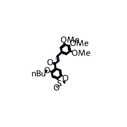 CCCCOc1cc2c(cc1C(=O)/C=C/c1cc(OC)c(OC)c(OC)c1)OC[S+]2[O-]